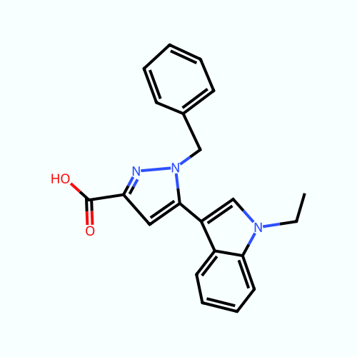 CCn1cc(-c2cc(C(=O)O)nn2Cc2ccccc2)c2ccccc21